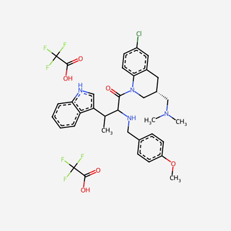 COc1ccc(CNC(C(=O)N2C[C@@H](CN(C)C)Cc3cc(Cl)ccc32)C(C)c2c[nH]c3ccccc23)cc1.O=C(O)C(F)(F)F.O=C(O)C(F)(F)F